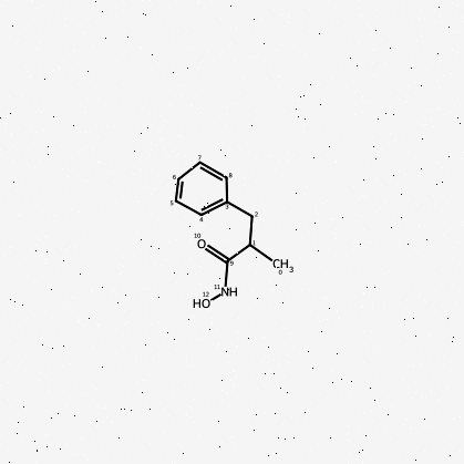 CC(Cc1ccccc1)C(=O)NO